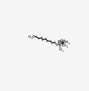 CCCCCC[CH]CCCO[Si](C)(C)C(C)(C)C